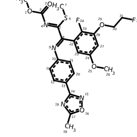 COC(=O)/N=C(SC)/C(=N/c1ccc(-c2noc(C)n2)cc1)c1cc(OC)cc(OCCF)c1F